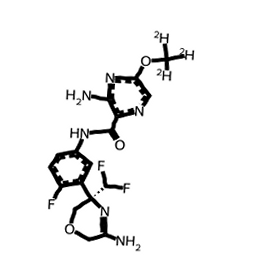 [2H]C([2H])([2H])Oc1cnc(C(=O)Nc2ccc(F)c([C@]3(C(F)F)COCC(N)=N3)c2)c(N)n1